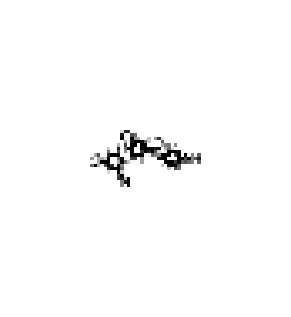 N#Cc1cc(Cl)cc(Oc2ccc(C(=O)Nc3ccc(S)cc3)cc2Cl)c1